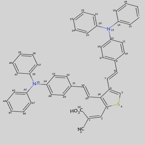 N#CC(=Cc1scc(C=Cc2ccc(N(c3ccccc3)c3ccccc3)cc2)c1C=Cc1ccc(N(c2ccccc2)c2ccccc2)cc1)C(=O)O